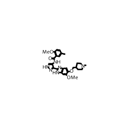 COc1cc2[nH]c(-c3n[nH]cc3NC(=O)c3cc(C)ccc3OC)nc2cc1OCC1CCN(C)CC1